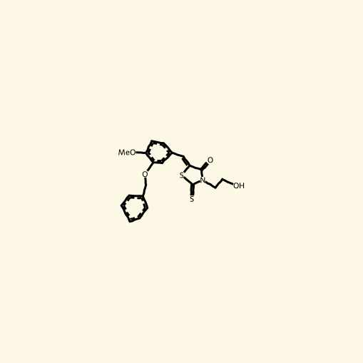 COc1ccc(/C=C2\SC(=S)N(CCO)C2=O)cc1OCc1ccccc1